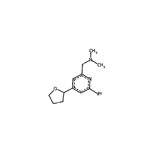 CC(C)c1cc(C2CCCO2)cc(CN(C)C)n1